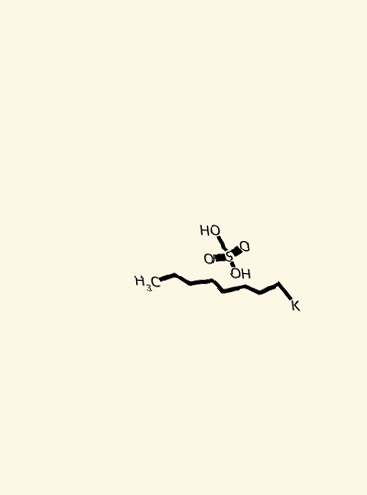 CCCCCCC[CH2][K].O=S(=O)(O)O